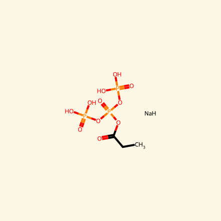 CCC(=O)OP(=O)(OP(=O)(O)O)OP(=O)(O)O.[NaH]